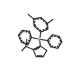 Cc1cc(C)cc([Si](C2=C(C(C)C)C=CC2)(c2ccccc2)c2ccccc2)c1